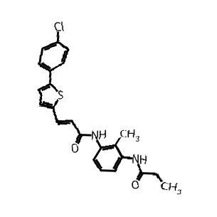 CCC(=O)Nc1cccc(NC(=O)/C=C/c2ccc(-c3ccc(Cl)cc3)s2)c1C